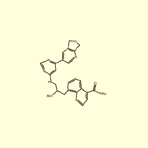 CNC(=O)c1ccnc2c(CC(CNc3cc(-c4cnc5c(c4)COC5)ncn3)SC)cccc12